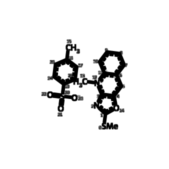 CSc1nc2c(cc3ccccc3[n+]2C)o1.Cc1ccc(S(=O)(=O)[O-])cc1